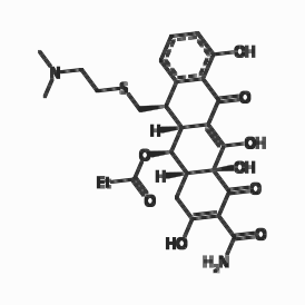 CCC(=O)O[C@H]1[C@H]2C(=C(O)[C@]3(O)C(=O)C(C(N)=O)=C(O)C[C@H]13)C(=O)c1c(O)cccc1[C@@H]2CSCCN(C)C